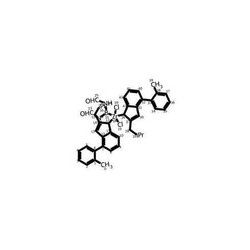 Cc1ccccc1-c1cccc2c1C=C(CC(C)C)[CH]2[Zr]([Cl])([Cl])([B](NC=O)NC=O)[CH]1C(CC(C)C)=Cc2c(-c3ccccc3C)cccc21